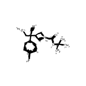 CCC(C#N)(c1ccc(F)cc1)C1CN(C(=O)OC(C)(C)C)C1